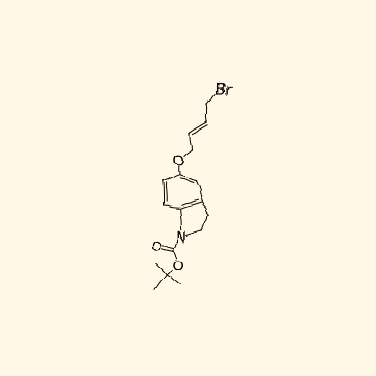 CC(C)(C)OC(=O)N1CCc2cc(OCC=CCBr)ccc21